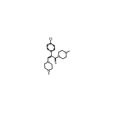 CN1CCN(/C=C(\C(=S)N2CCN(C)CC2)c2ccc(Cl)cc2)CC1